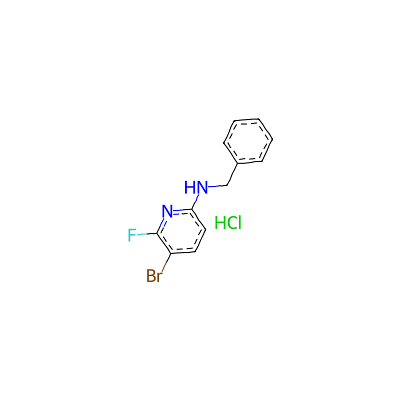 Cl.Fc1nc(NCc2ccccc2)ccc1Br